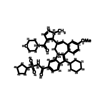 COc1ccc2c(c1)C=C(c1c(C(=O)N3CCOCC3)cnn1C)Cn1c-2c(C2CCCCC2)c2ccc(C(=O)NS(=O)(=O)C3CCCC3)cc21